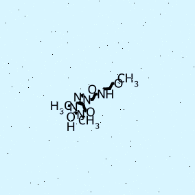 COCCCNC(=O)Cn1cnc2c1C(=O)N(C)C(O)N2C